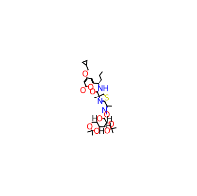 CCC[C@@H](NC(=O)[C@]1(C)CSC(/C(C)=N/O[C@H]2O[C@@H]3COC(C)(C)O[C@H]3[C@@H]3OC(C)(C)O[C@H]23)=N1)c1cc(OCC2CC2)cc(=O)o1